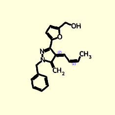 C=c1/c(=C\C=C/C)c(-c2ccc(CO)o2)nn1Cc1ccccc1